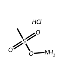 CS(=O)(=O)ON.Cl